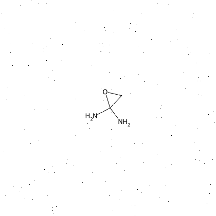 NC1(N)CO1